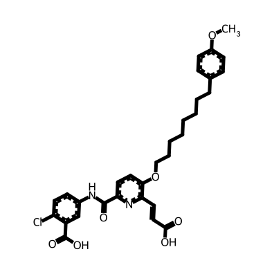 COc1ccc(CCCCCCCCOc2ccc(C(=O)Nc3ccc(Cl)c(C(=O)O)c3)nc2C=CC(=O)O)cc1